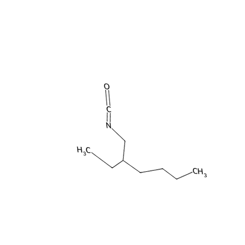 CCCCC(CC)CN=C=O